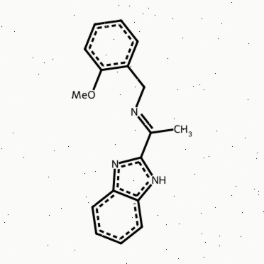 COc1ccccc1CN=C(C)c1nc2ccccc2[nH]1